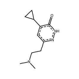 CN(C)CCc1cc(C2CC2)c(=O)[nH]n1